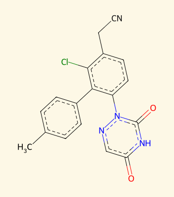 Cc1ccc(-c2c(-n3ncc(=O)[nH]c3=O)ccc(CC#N)c2Cl)cc1